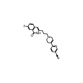 N#Cc1ccc(C2=CCN(CCCc3cc4ccc(F)cc4c(=O)[nH]3)CC2)nc1